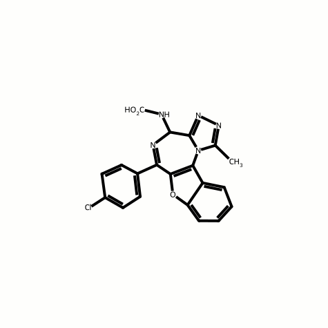 Cc1nnc2n1-c1c(oc3ccccc13)C(c1ccc(Cl)cc1)=NC2NC(=O)O